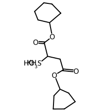 O=C(CC(C(=O)OC1CCCCC1)S(=O)(=O)O)OC1CCCCC1.[KH]